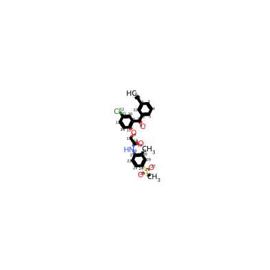 C#Cc1cccc(C(=O)c2cc(Cl)ccc2OCC(=O)Nc2ccc(S(C)(=O)=O)cc2C)c1